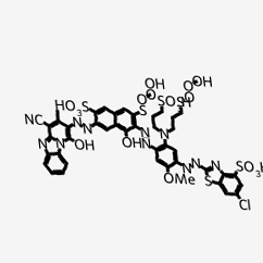 COc1cc(N=Nc2c(SOOO)cc3cc(S(=O)(=O)O)c(N=Nc4c(C)c(C#N)c5nc6ccccc6n5c4O)cc3c2O)c(N(CCCSOOO)CCCS(=O)(=O)O)cc1N=Nc1nc2c(S(=O)(=O)O)cc(Cl)cc2s1